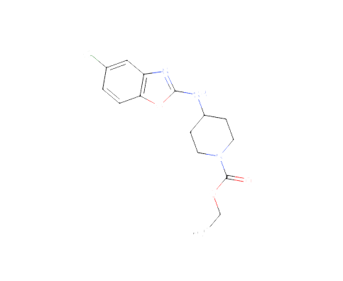 CCOC(=O)N1CCC(Nc2nc3cc(Cl)ccc3o2)CC1